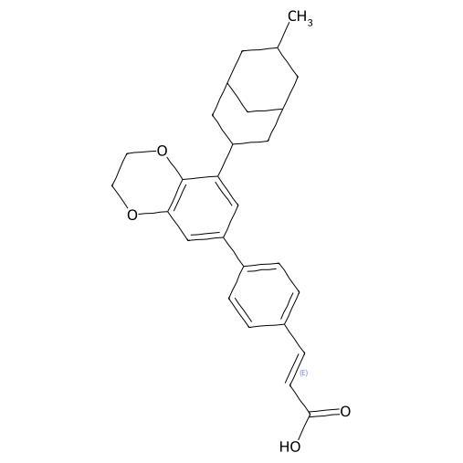 CC1CC2CC(C1)CC(c1cc(-c3ccc(/C=C/C(=O)O)cc3)cc3c1OCCO3)C2